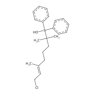 C/C(=C\CCl)CCCC(C)(C)[Si](O)(c1ccccc1)c1ccccc1